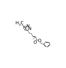 CCn1cc(CC/C=C/C(=O)OCc2ccccc2)nn1